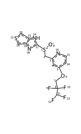 [O-][S+](Cc1cc(OCC(F)(F)C(F)F)ccn1)c1nc2cscc2[nH]1